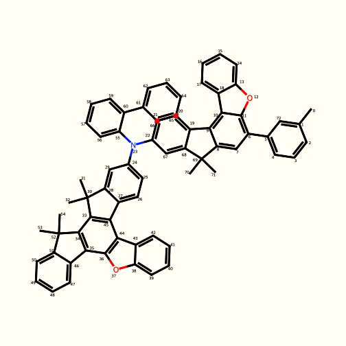 Cc1cccc(-c2cc3c(c4c2oc2ccccc24)-c2ccc(N(c4ccc5c(c4)C(C)(C)c4c6c(c7oc8ccccc8c7c4-5)-c4ccccc4C6(C)C)c4ccccc4-c4ccccc4)cc2C3(C)C)c1